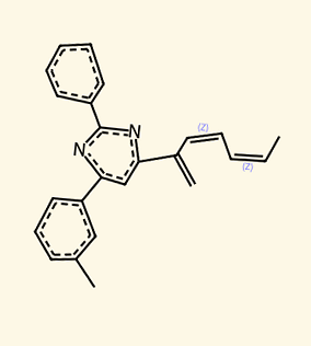 C=C(/C=C\C=C/C)c1cc(-c2cccc(C)c2)nc(-c2ccccc2)n1